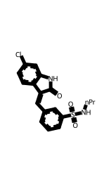 CCCNS(=O)(=O)c1cccc(C=C2C(=O)Nc3cc(Cl)ccc32)c1